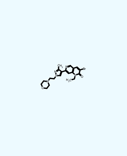 CCn1c(=O)c(Br)cc2cnc(-c3cn(CCN4CCOCC4)nc3C)cc21